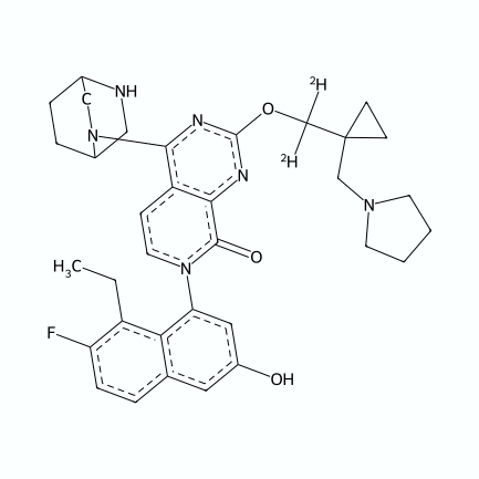 [2H]C([2H])(Oc1nc(N2CC3CCC2CN3)c2ccn(-c3cc(O)cc4ccc(F)c(CC)c34)c(=O)c2n1)C1(CN2CCCC2)CC1